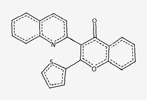 O=c1c(-c2ccc3ccccc3n2)c(-c2cccs2)oc2ccccc12